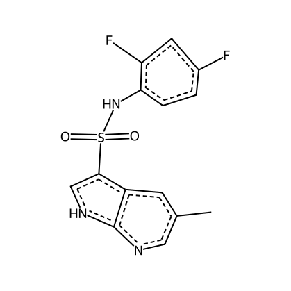 Cc1cnc2[nH]cc(S(=O)(=O)Nc3ccc(F)cc3F)c2c1